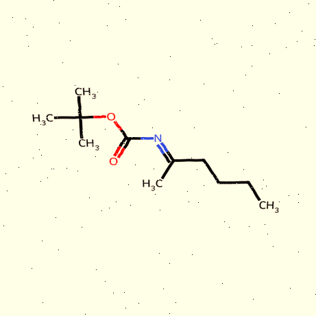 CCCC/C(C)=N/C(=O)OC(C)(C)C